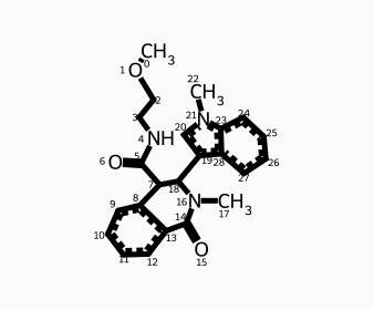 COCCNC(=O)C1c2ccccc2C(=O)N(C)C1c1cn(C)c2ccccc12